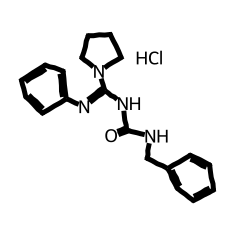 Cl.O=C(NCc1ccccc1)NC(=Nc1ccccc1)N1CCCC1